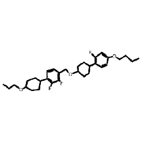 CCCCOc1ccc(C2CCC(OCc3ccc(C4CCC(OCCC)CC4)c(F)c3F)CC2)c(F)c1